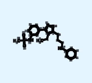 CCn1c(SCCNc2ccccc2)nnc1-c1ccnc(NS(C)(=O)=O)c1